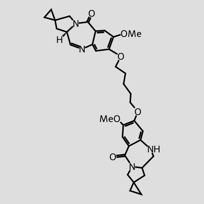 COc1cc2c(cc1OCCCCCOc1cc3c(cc1OC)C(=O)N1CC4(CC4)CC1CN3)N=C[C@@H]1CC3(CC3)CN1C2=O